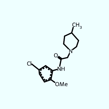 COc1ccc(Cl)cc1NC(=O)CN1CCC(C)CC1